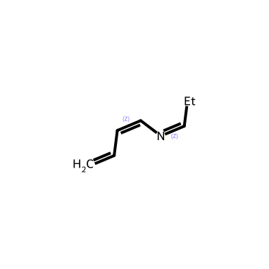 C=C/C=C\N=C/CC